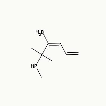 B/C(=C/C=C)C(C)(C)PC